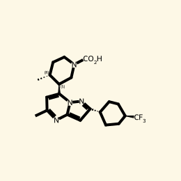 Cc1cc([C@@H]2CN(C(=O)O)CC[C@H]2C)n2nc([C@H]3CC[C@H](C(F)(F)F)CC3)cc2n1